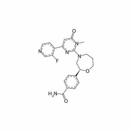 Cn1c(N2CCCO[C@@H](c3ccc(C(N)=O)cc3)C2)nc(-c2ccncc2F)cc1=O